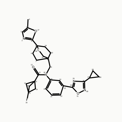 Cc1cnc(C23CCC(CN(C(=O)C45CC(F)(C4)C5)c4cccc(-c5nc(C6CC6)no5)c4)(CC2)CC3)o1